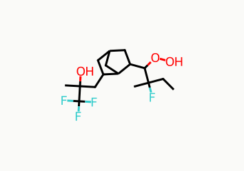 CCC(C)(F)C(OO)C1CC2CC(CC(C)(O)C(F)(F)F)C1C2